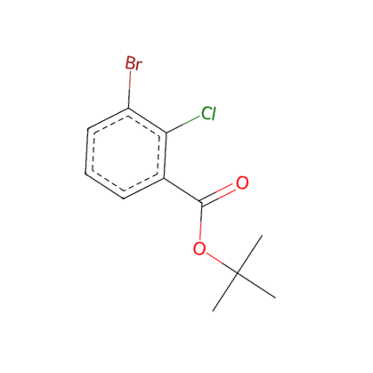 CC(C)(C)OC(=O)c1cccc(Br)c1Cl